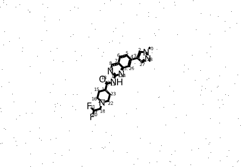 Cn1cc(-c2ccc3cnc(NC(=O)C4CCN(CC(F)F)CC4)nc3c2)cn1